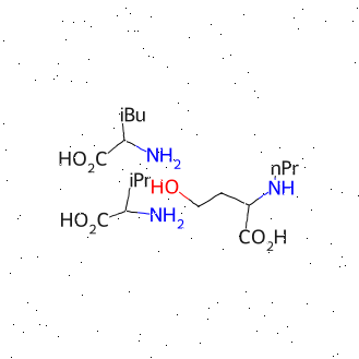 CC(C)C(N)C(=O)O.CCC(C)C(N)C(=O)O.CCCNC(CCO)C(=O)O